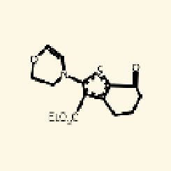 CCOC(=O)c1c(N2C=COCC2)sc2c1CCCC2=O